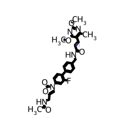 COc1nc(C)c(/C=C/C(=O)NCc2ccc(-c3ccc(-n4cc(CNC(C)=O)oc4=O)cc3F)cc2)c(OC)n1